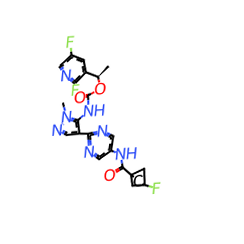 C[C@@H](OC(=O)Nc1c(-c2ncc(NC(=O)C34CC(F)(C3)C4)cn2)cnn1C)c1cc(F)cnc1F